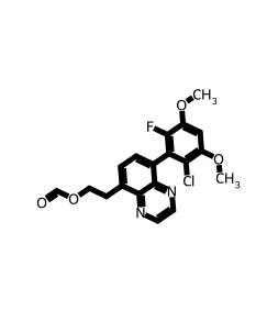 COc1cc(OC)c(Cl)c(-c2ccc(CCOC=O)c3nccnc23)c1F